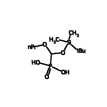 CCCOC(O[Si](C)(C)C(C)(C)C)P(=O)(O)O